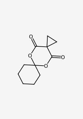 O=C1OC2(CCCCC2)OC(=O)C12CC2